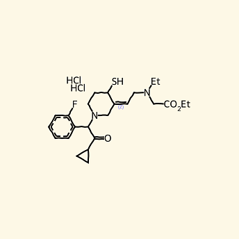 CCOC(=O)CN(CC)C/C=C1/CN(C(C(=O)C2CC2)c2ccccc2F)CCC1S.Cl.Cl